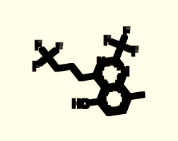 Cc1ccc(O)c2c(CCCC(F)(F)F)nc(C(F)(F)F)nc12